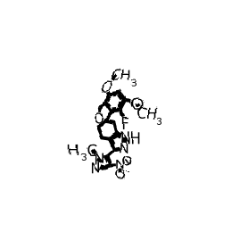 COc1cc(OC)c2c(c1F)C1(CCc3c(-c4c([N+](=O)[O-])cnn4C)n[nH]c3C1)OC2